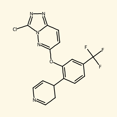 FC(F)(F)c1ccc(C2C=CN=CC2)c(Oc2ccc3nnc(Cl)n3n2)c1